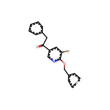 O=C(Cc1ccccc1)c1cnc(OCc2ccccc2)c(Br)c1